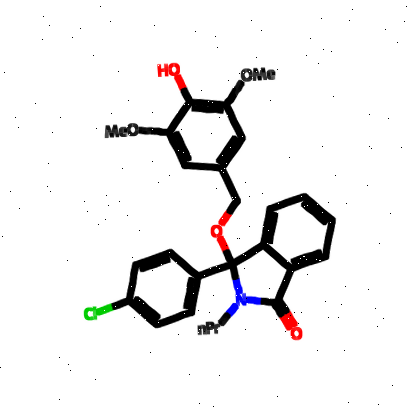 CCCN1C(=O)c2ccccc2C1(OCc1cc(OC)c(O)c(OC)c1)c1ccc(Cl)cc1